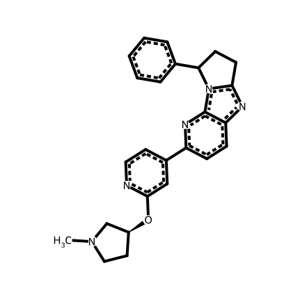 CN1CC[C@H](Oc2cc(-c3ccc4nc5n(c4n3)C(c3ccccc3)CC5)ccn2)C1